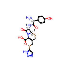 N[C@@H](C(=O)N[C@H]1C(=O)N2C(C(=O)O)=C(CSc3cnn[nH]3)CS[C@H]12)c1ccc(O)cc1